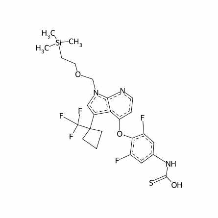 C[Si](C)(C)CCOCn1cc(C2(C(F)(F)F)CCC2)c2c(Oc3c(F)cc(NC(O)=S)cc3F)ccnc21